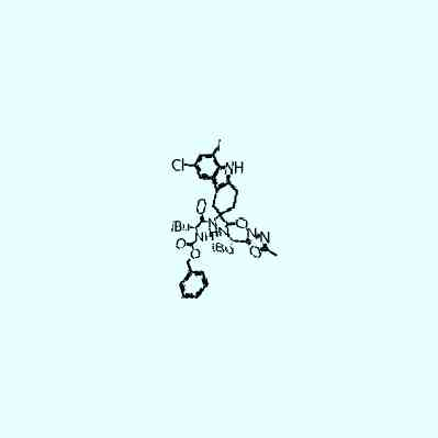 CCC(C)[C@H](NC(=O)OCc1ccccc1)C(=O)N[C@]1(C(=O)N[C@H](c2nnc(C)o2)C(C)CC)CCc2[nH]c3c(I)cc(Cl)cc3c2C1